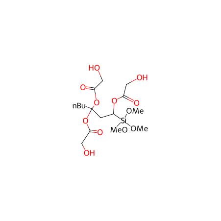 CCCCC(CC(OC(=O)CO)[Si](OC)(OC)OC)(OC(=O)CO)OC(=O)CO